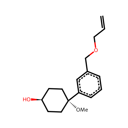 C=CCOCc1cccc([C@]2(OC)CC[C@H](O)CC2)c1